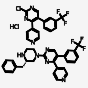 Cl.FC(F)(F)c1cccc(-c2cnc(Cl)nc2-c2ccncc2)c1.FC(F)(F)c1cccc(-c2cnc(N3CCN[C@@H](Cc4ccccc4)C3)nc2-c2ccncc2)c1